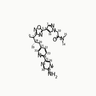 CC(c1noc(-c2cnn(CC(=O)N(C)C)c2)n1)[C@@H](C)Cc1ccc(-c2cnc(N)cn2)nc1